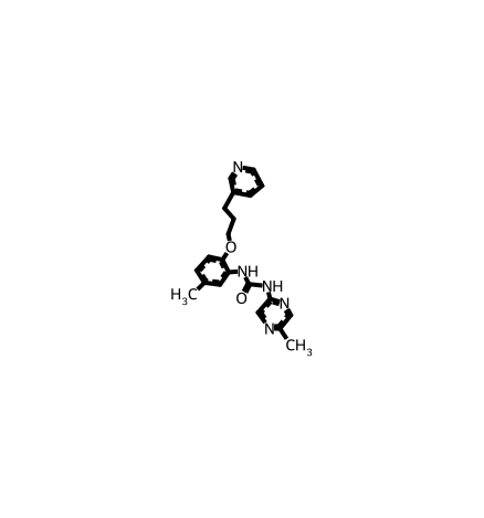 Cc1ccc(OCCCc2cccnc2)c(NC(=O)Nc2cnc(C)cn2)c1